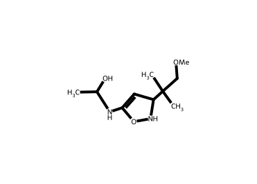 COCC(C)(C)C1C=C(NC(C)O)ON1